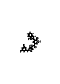 O=C(Nc1cnn(Cc2cc(F)cc(F)c2)c1)c1c[nH]c(=O)c(-c2cc3ccccc3[nH]2)c1